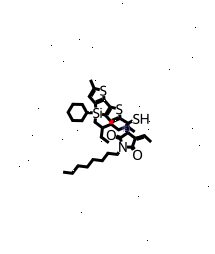 CC=C1C(=O)N(CCCCCCCC)C(=O)/C1=C(/S)c1cc2c(s1)-c1sc(C)cc1[Si]2(CC(CC)CCCC)C1CCCCC1